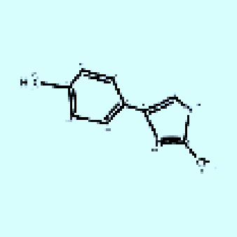 Cc1ccc(-c2csc(C)n2)cc1